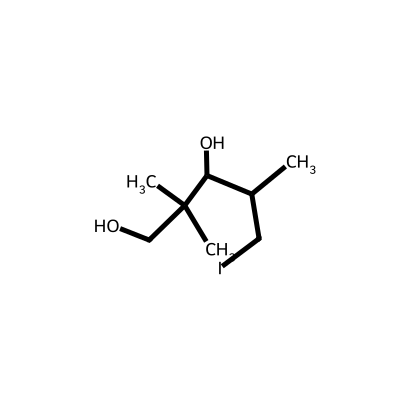 CC(CI)C(O)C(C)(C)CO